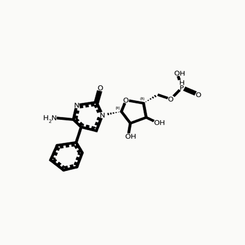 Nc1nc(=O)n([C@@H]2O[C@H](CO[PH](=O)O)C(O)C2O)cc1-c1ccccc1